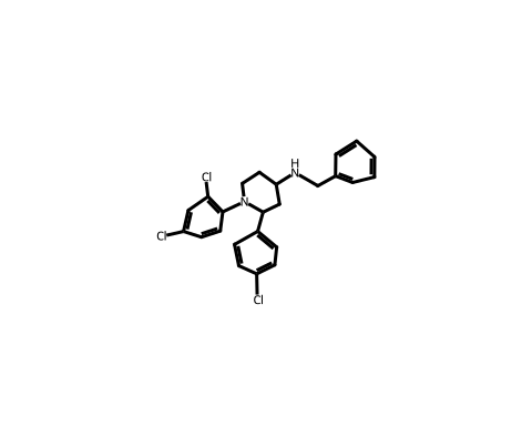 Clc1ccc(C2CC(NCc3ccccc3)CCN2c2ccc(Cl)cc2Cl)cc1